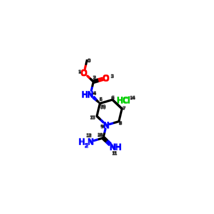 COC(=O)N[C@H]1CCCN(C(=N)N)C1.Cl